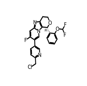 Fc1cc2nc3c(n2cc1-c1ccc(CCl)nc1)[C@@H](c1ccccc1OC(F)F)OCC3